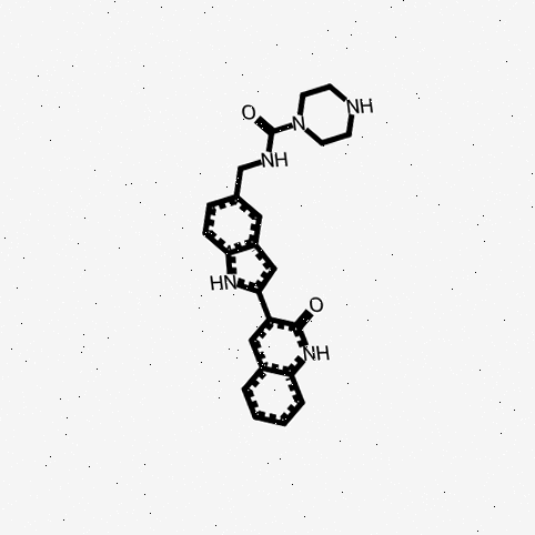 O=C(NCc1ccc2[nH]c(-c3cc4ccccc4[nH]c3=O)cc2c1)N1CCNCC1